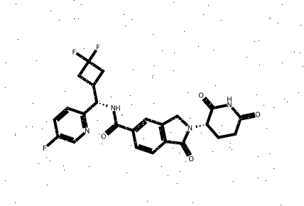 O=C1CC[C@H](N2Cc3cc(C(=O)N[C@H](c4ccc(F)cn4)C4CC(F)(F)C4)ccc3C2=O)C(=O)N1